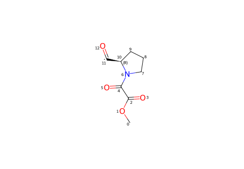 COC(=O)C(=O)N1CCC[C@@H]1[C]=O